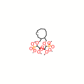 COC(=O)C(OCC1CCCCCCCC1COC(C(=O)OC)P(=O)(OC)OC)P(=O)(OC)OC